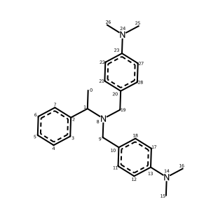 CC(c1ccccc1)N(Cc1ccc(N(C)C)cc1)Cc1ccc(N(C)C)cc1